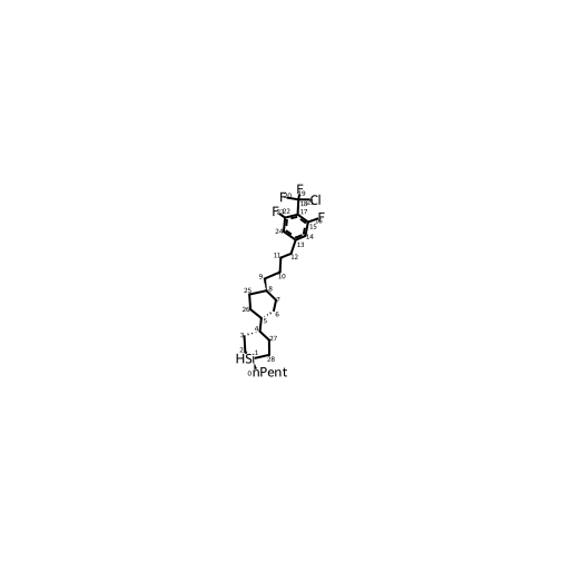 CCCCC[Si@H]1CC[C@H]([C@H]2CC[C@H](CCCCc3cc(F)c(C(F)(F)Cl)c(F)c3)CC2)CC1